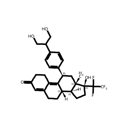 C[C@]12C[C@H](c3ccc(C(CO)CO)cc3)C3=C4CCC(=O)C=C4CC[C@H]3[C@@H]1CC[C@@]2(O)C(F)(F)C(F)(F)F